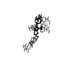 Cc1cc(-c2[nH]c3ccc(C4CCN(C/C(=N/N)NN)CC4)cc3c2C(C)C)cn2ncnc12